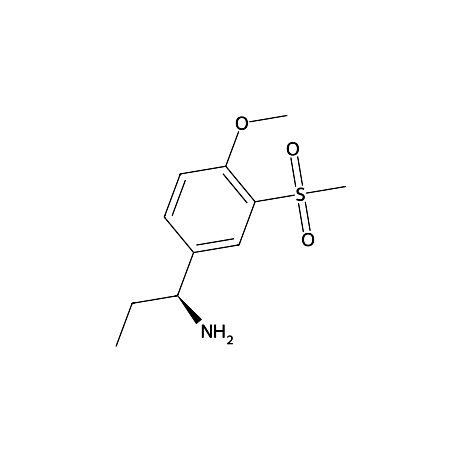 CC[C@H](N)c1ccc(OC)c(S(C)(=O)=O)c1